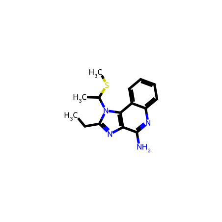 CCc1nc2c(N)nc3ccccc3c2n1C(C)SC